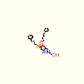 OCCNCc1ccc(OCCCCc2ccccc2)c(OCCCCc2ccccc2)c1